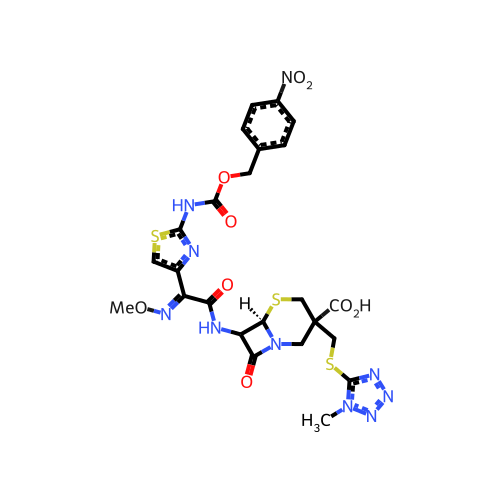 CON=C(C(=O)NC1C(=O)N2CC(CSc3nnnn3C)(C(=O)O)CS[C@H]12)c1csc(NC(=O)OCc2ccc([N+](=O)[O-])cc2)n1